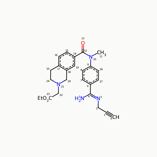 C#CCN=C(N)c1ccc(N(C)C(=O)c2ccc3c(c2)CN(CC(=O)OCC)CC3)cc1